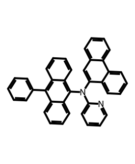 c1ccc(-c2c3ccccc3c(N(c3ccccn3)c3cc4ccccc4c4ccccc34)c3ccccc23)cc1